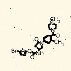 Cc1cc(N2CC(NC(=O)Oc3ccc(Br)s3)CC2=O)ccc1C(=O)N1CCN(C)CC1